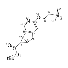 CC(C)(C)OC(=O)C1C2Cc3cc(OCC[Si](C)(C)C)ncc3C21